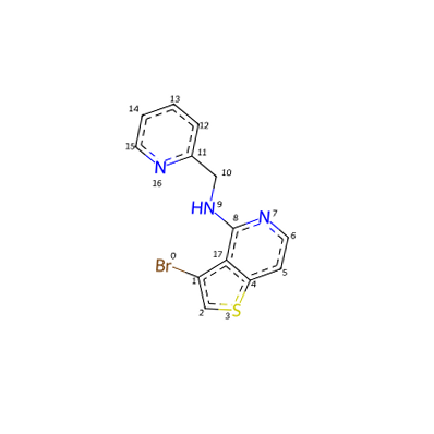 Brc1csc2ccnc(NCc3ccccn3)c12